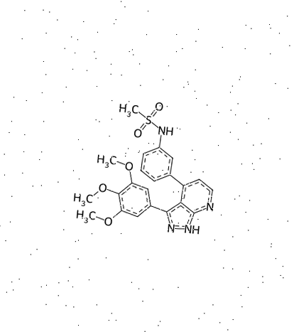 COc1cc(-c2n[nH]c3nccc(-c4cccc(NS(C)(=O)=O)c4)c23)cc(OC)c1OC